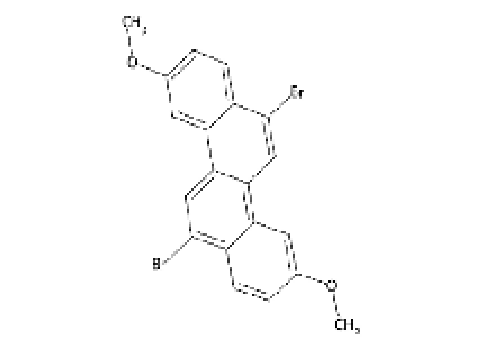 COc1ccc2c(Br)cc3c4cc(OC)ccc4c(Br)cc3c2c1